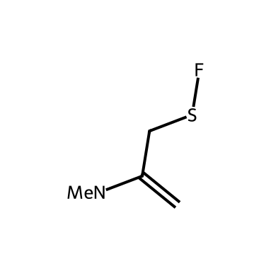 C=C(CSF)NC